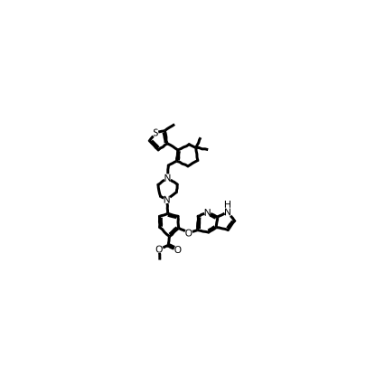 COC(=O)c1ccc(N2CCN(CC3=C(c4ccsc4C)CC(C)(C)CC3)CC2)cc1Oc1cnc2[nH]ccc2c1